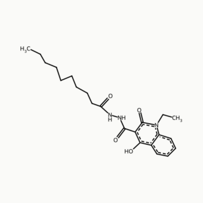 CCCCCCCCCC(=O)NNC(=O)c1c(O)c2ccccc2n(CC)c1=O